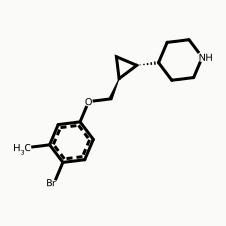 Cc1cc(OC[C@H]2C[C@@H]2C2CCNCC2)ccc1Br